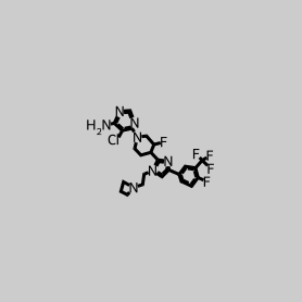 Nc1ncnc(N2CCC(c3nc(-c4ccc(F)c(C(F)(F)F)c4)cn3CCN3CCC3)C(F)C2)c1Cl